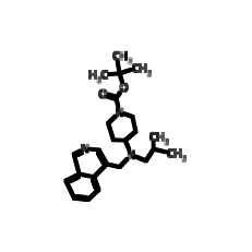 CC(C)CN(Cc1cncc2ccccc12)C1CCN(C(=O)OC(C)(C)C)CC1